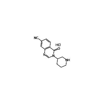 Cl.N#Cc1ccc2c(=O)n(C3CCCNC3)cnc2c1